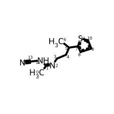 CC(=NCCC(C)c1cccs1)NC#N